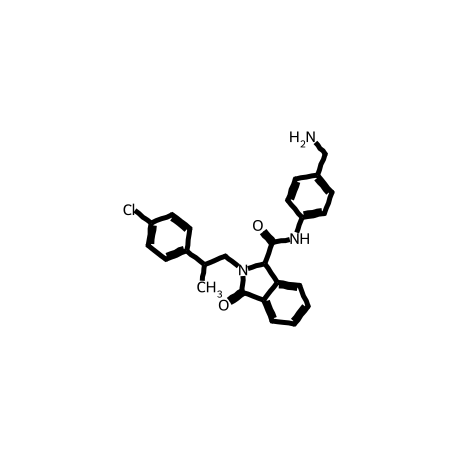 CC(CN1C(=O)c2ccccc2C1C(=O)Nc1ccc(CN)cc1)c1ccc(Cl)cc1